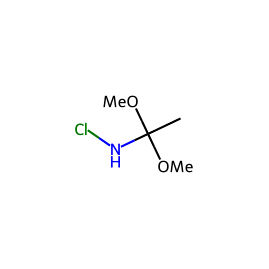 COC(C)(NCl)OC